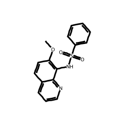 COc1ccc2cccnc2c1NS(=O)(=O)c1ccccc1